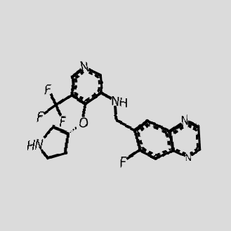 Fc1cc2nccnc2cc1CNc1cncc(C(F)(F)F)c1O[C@@H]1CCNC1